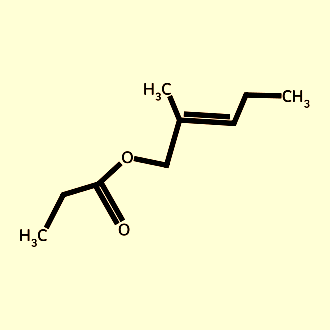 CC/C=C(\C)COC(=O)CC